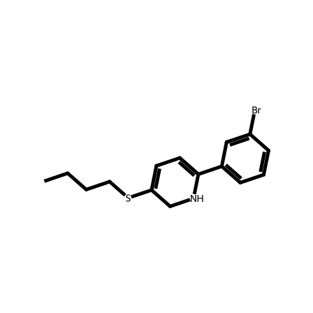 CCCCSC1=CC=C(c2cccc(Br)c2)NC1